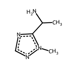 CC(N)c1ncnn1C